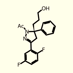 CC(=O)N1N=C(c2cc(F)ccc2F)C[C@@]1(CCCO)c1ccccc1